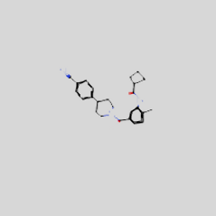 Cc1ccc(C(=O)N2CCC(c3ccc(C#N)cc3)CC2)cc1NC(=O)C1CCC1